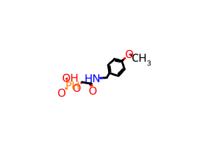 COc1ccc(CNC(=O)CO[PH](=O)O)cc1